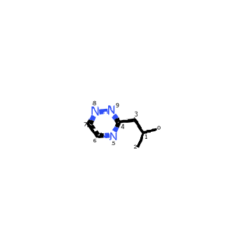 CC(C)Cc1nc[c]nn1